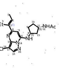 C/C=C(\CC)c1cc(N[C@H]2CC[C@H](NC(C)=O)C2)n2ncc(Cl)c2n1